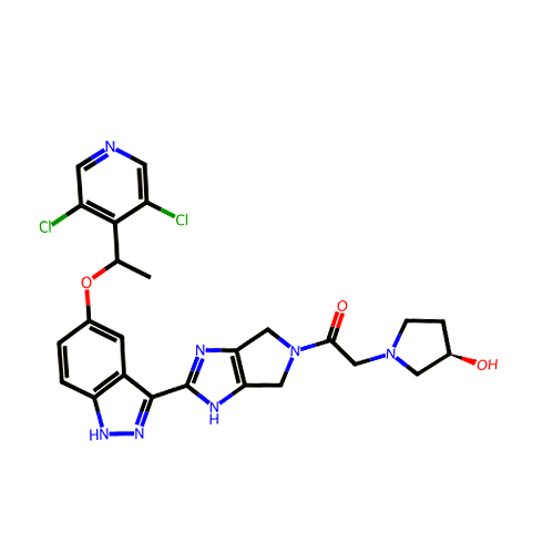 CC(Oc1ccc2[nH]nc(-c3nc4c([nH]3)CN(C(=O)CN3CC[C@@H](O)C3)C4)c2c1)c1c(Cl)cncc1Cl